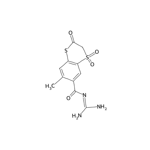 Cc1cc2c(cc1C(=O)N=C(N)N)S(=O)(=O)CC(=O)S2